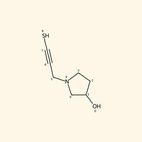 OC1CCN(CC#CS)C1